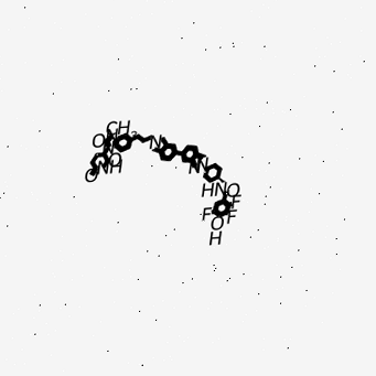 Cn1c(=O)n(C2CCC(=O)NC2=O)c2ccc(CCCN3Cc4ccc(-c5ccc6cn([C@H]7CC[C@H](CNC(=O)c8cc(F)c(O)c(F)c8F)CC7)nc6c5)cc4C3)cc21